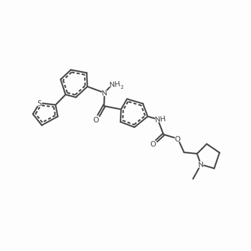 CN1CCCC1COC(=O)Nc1ccc(C(=O)N(N)c2cccc(-c3cccs3)c2)cc1